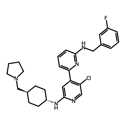 Fc1cccc(CNc2cccc(-c3cc(N[C@H]4CC[C@H](CN5CCCC5)CC4)ncc3Cl)n2)c1